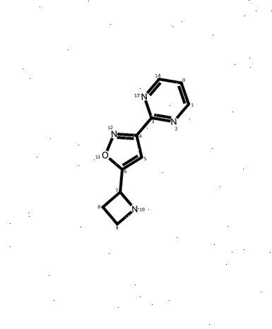 c1cnc(-c2cc(C3CC[N]3)on2)nc1